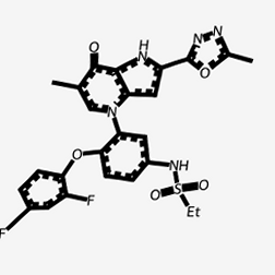 CCS(=O)(=O)Nc1ccc(Oc2ccc(F)cc2F)c(-n2cc(C)c(=O)c3[nH]c(-c4nnc(C)o4)cc32)c1